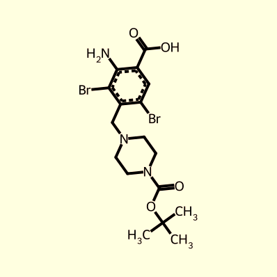 CC(C)(C)OC(=O)N1CCN(Cc2c(Br)cc(C(=O)O)c(N)c2Br)CC1